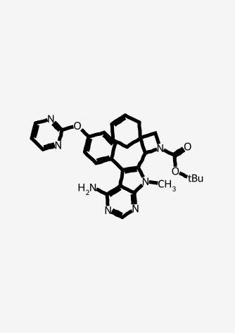 Cn1c(C2N(C(=O)OC(C)(C)C)CC23CC=CCC3)c(-c2ccc(Oc3ncccn3)cc2)c2c(N)ncnc21